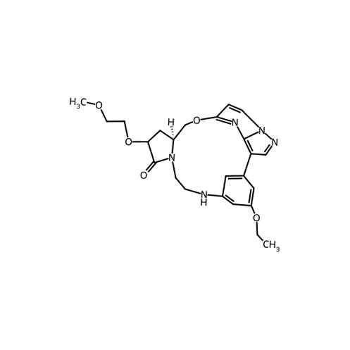 CCOc1cc2cc(c1)-c1cnn3ccc(nc13)OC[C@@H]1CC(OCCOC)C(=O)N1CCN2